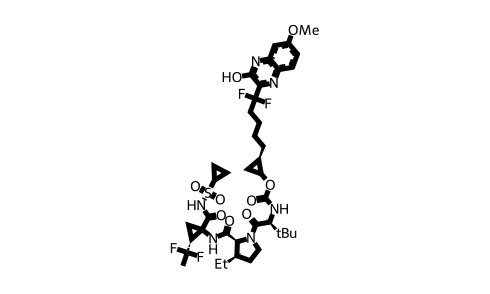 CC[C@@H]1CCN(C(=O)[C@@H](NC(=O)OC2C[C@H]2CCCCC(F)(F)c2nc3ccc(OC)cc3nc2O)C(C)(C)C)[C@@H]1C(=O)NC1(C(=O)NS(=O)(=O)C2CC2)C[C@H]1C(C)(F)F